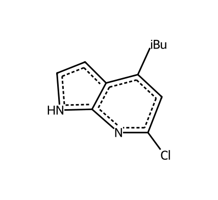 CCC(C)c1cc(Cl)nc2[nH]ccc12